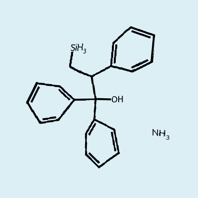 N.OC(c1ccccc1)(c1ccccc1)C(C[SiH3])c1ccccc1